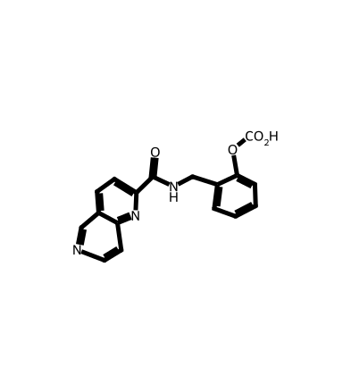 O=C(O)Oc1ccccc1CNC(=O)c1ccc2cnccc2n1